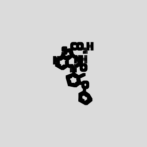 Cc1c(Oc2ccccc2)cccc1N1C(=O)Nc2c(C(=O)O)sc3nccc1c23